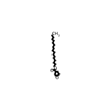 CCCCCCCCCCCCCCCCCCOC(=O)C1CCC2OC2C1